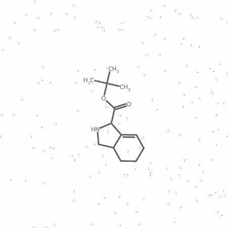 CC(C)(C)OC(=O)C1NCC2CCCC=C21